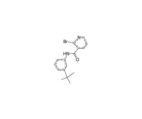 CC(C)(C)c1cccc(NC(=O)c2cccnc2Br)c1